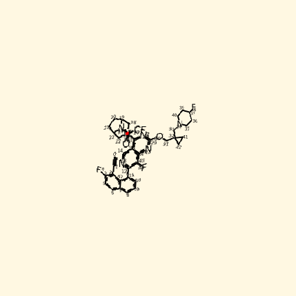 C#Cc1c(F)ccc2c[c]cc(-c3ncc4c(N5CC6CCC(C5)N6C(=O)C(F)(F)F)nc(OCC5(CN6CCC(F)CC6)CC5)nc4c3F)c12